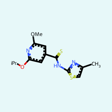 COc1cc(C(=S)Nc2nc(C)cs2)cc(OC(C)C)n1